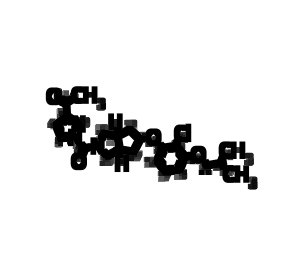 CC(=O)c1ccn(C(=O)N2C[C@H]3C[C@H](Oc4cccc(OCC(C)C)c4Cl)C[C@H]3C2)n1